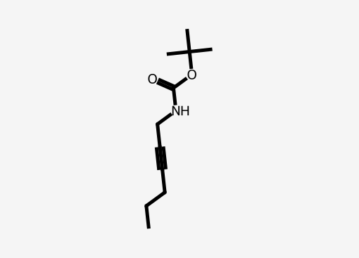 CCCC#CCNC(=O)OC(C)(C)C